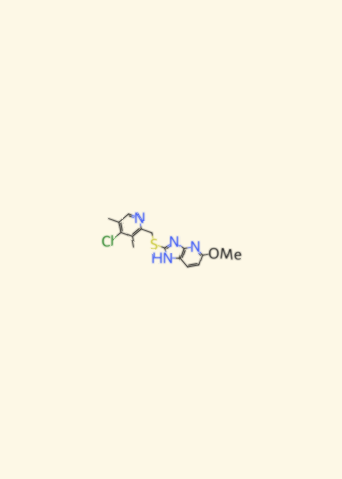 COc1ccc2[nH]c(SCc3ncc(C)c(Cl)c3C)nc2n1